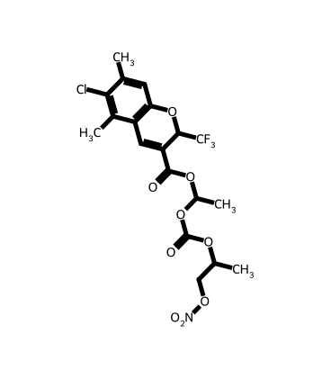 Cc1cc2c(c(C)c1Cl)C=C(C(=O)OC(C)OC(=O)OC(C)CO[N+](=O)[O-])C(C(F)(F)F)O2